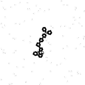 c1ccc(N(c2ccccc2)c2ccc(-c3ccc(-c4cccc(-c5ccc6c(c5)-n5c7ccccc7c7cccc(c75)O6)c4)cc3)cc2)cc1